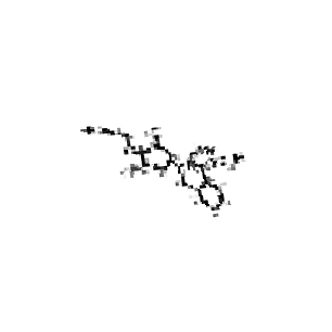 C#CCOc1c(Cl)cc(OCc2ccccc2C(=NOC)C(=O)O)cc1Cl